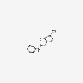 N#Cc1ccc(C=NNc2ccccc2)c(Cl)c1